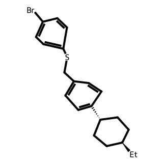 CC[C@H]1CC[C@H](c2ccc(CSc3ccc(Br)cc3)cc2)CC1